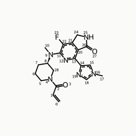 C=CC(=O)N1CCC[C@@H](N(C)c2nc(-c3cn(C)cn3)c3c(c2F)CNC3=O)C1